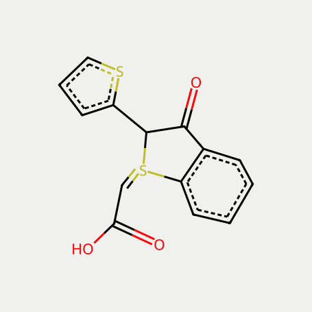 O=C(O)C=S1c2ccccc2C(=O)C1c1cccs1